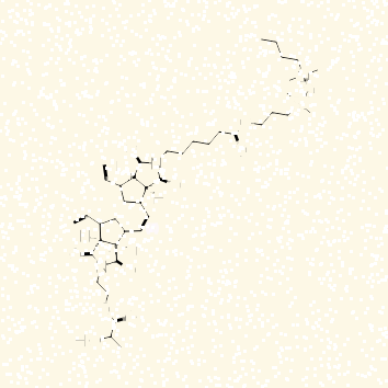 C=CC1CC(/C=C\C2CC(C=C)[C@@H]3C(=O)N(CCOC(=O)C(C)O)C(=O)[C@H]23)[C@@H]2C(=O)N(CCCCCC(=O)OCCC[Si](C)(C)O[Si](C)(C)CCCC)C(=O)[C@H]12